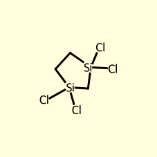 Cl[Si]1(Cl)CC[Si](Cl)(Cl)C1